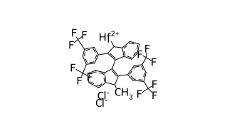 CC1C(c2cc(C(F)(F)F)cc(C(F)(F)F)c2)=C(C2=C(c3cc(C(F)(F)F)cc(C(F)(F)F)c3)[CH]([Hf+2])c3ccccc32)c2ccccc21.[Cl-].[Cl-]